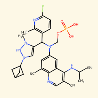 Cc1nc(F)ccc1C(C1=CN(C23CC(C2)C3)NN1C)N(COP(=O)(O)O)c1cc(C#N)c2ncc(C#N)c(NC(C)C(C)(C)C)c2c1